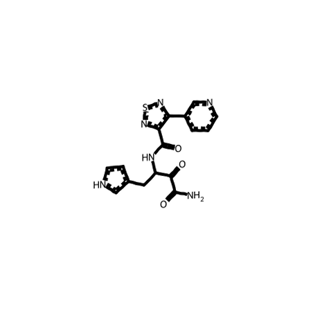 NC(=O)C(=O)C(Cc1cc[nH]c1)NC(=O)c1nsnc1-c1cccnc1